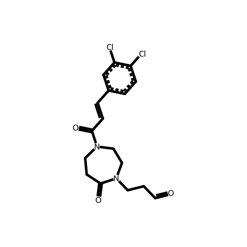 O=CCCN1CCN(C(=O)C=Cc2ccc(Cl)c(Cl)c2)CCC1=O